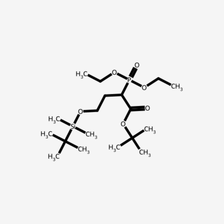 CCOP(=O)(OCC)C(CCO[Si](C)(C)C(C)(C)C)C(=O)OC(C)(C)C